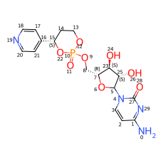 Nc1ccn(C2O[C@H](COP3(=O)OCC[C@@H](c4ccncc4)O3)[C@@H](O)[C@@H]2O)c(=O)n1